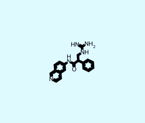 N=C(N)NCC(C(=O)Nc1ccc2cnccc2c1)c1ccccc1